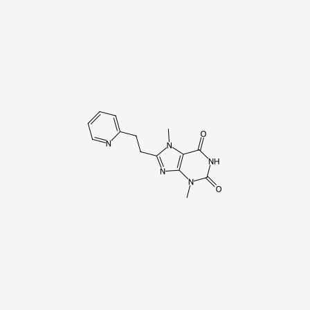 Cn1c(CCc2ccccn2)nc2c1c(=O)[nH]c(=O)n2C